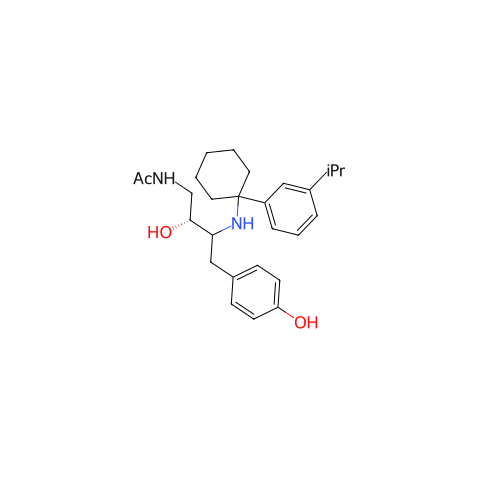 CC(=O)NC[C@@H](O)C(Cc1ccc(O)cc1)NC1(c2cccc(C(C)C)c2)CCCCC1